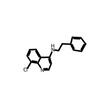 Clc1cccc2c(NCCc3ccccc3)ccnc12